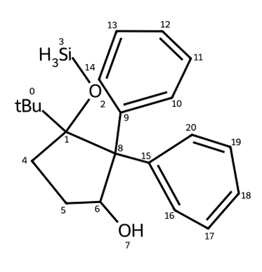 CC(C)(C)C1(O[SiH3])CCC(O)C1(c1ccccc1)c1ccccc1